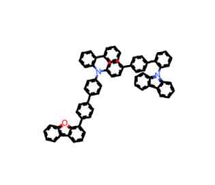 c1ccc(-c2ccccc2N(c2ccc(-c3ccc(-c4ccccc4-n4c5ccccc5c5ccccc54)cc3)cc2)c2ccc(-c3ccc(-c4cccc5c4oc4ccccc45)cc3)cc2)cc1